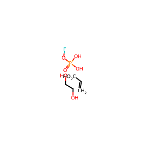 C=CC(=O)O.O=P(O)(O)OF.OCCO